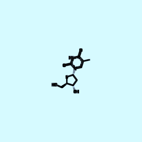 Cc1cn([C@@H]2C[C@H](O)[C@@H](CO)S2)c(=O)[nH]c1=O